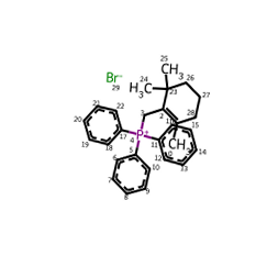 CC1=C(C[P+](c2ccccc2)(c2ccccc2)c2ccccc2)C(C)(C)CCC1.[Br-]